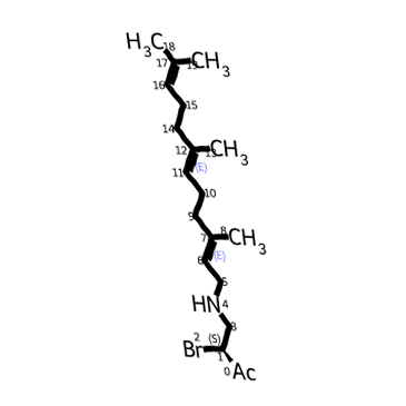 CC(=O)[C@@H](Br)CNC/C=C(\C)CC/C=C(\C)CCC=C(C)C